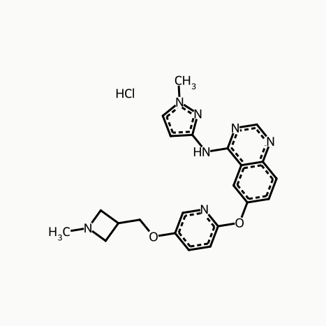 CN1CC(COc2ccc(Oc3ccc4ncnc(Nc5ccn(C)n5)c4c3)nc2)C1.Cl